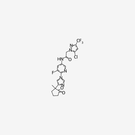 CC1(c2cn(-c3ncc(NC(=O)Cn4nc(C(F)(F)F)cc4Cl)cc3F)cn2)CCCS1(=O)=O